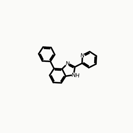 c1ccc(-c2cccc3[nH]c(-c4ccccn4)nc23)cc1